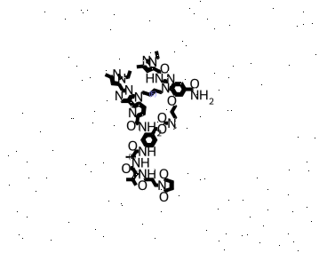 CCn1nc(C)cc1C(=O)Nc1nc2cc(C(N)=O)cc(OCCCN(C)C(=O)OCc3ccc(NC(=O)[C@H](C)NC(=O)[C@@H](NC(=O)CCN4C(=O)C=CC4=O)C(C)C)cc3)c2n1C/C=C/Cn1c2ccc(C(N)=O)nc2c2cnc(-c3cc(C)nn3CC)nc21